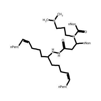 CCCCC/C=C\CCCC(CCC/C=C\CCCCC)NNC(=O)CC(CCCCCCCCC)N(CCCN(C)C)C(=O)CCCCCCCCC